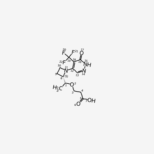 CC(OCCC(=O)O)[C@@H]1CCN1c1cn[nH]c(=O)c1C(F)(F)F